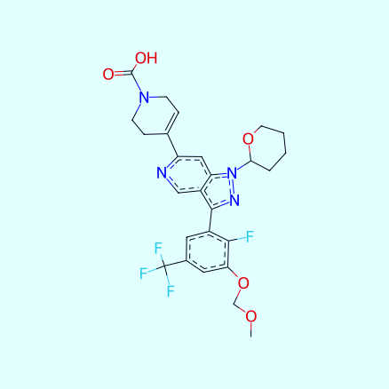 COCOc1cc(C(F)(F)F)cc(-c2nn(C3CCCCO3)c3cc(C4=CCN(C(=O)O)CC4)ncc23)c1F